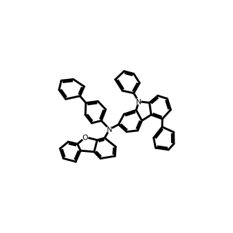 c1ccc(-c2ccc(N(c3ccc4c5c(-c6ccccc6)cccc5n(-c5ccccc5)c4c3)c3cccc4c3oc3ccccc34)cc2)cc1